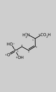 NC(/C=C\CP(=O)(O)O)C(=O)O